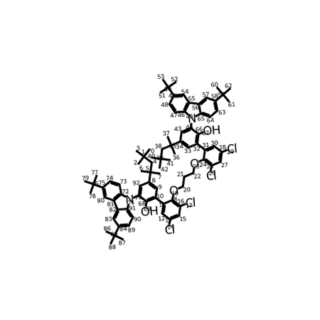 CC(C)(C)CC(C)(C)c1cc(-c2cc(Cl)cc(Cl)c2OCCCOc2c(Cl)cc(Cl)cc2-c2cc(C(C)(C)CC(C)(C)C)cc(-n3c4ccc(C(C)(C)C)cc4c4cc(C(C)(C)C)ccc43)c2O)c(O)c(-n2c3ccc(C(C)(C)C)cc3c3cc(C(C)(C)C)ccc32)c1